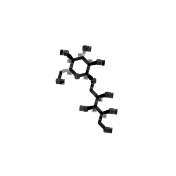 OC[C@H](O)[C@@H](O)[C@H](O)CO[C@H]1O[C@H](CO)[C@@H](O)[C@H](O)[C@H]1O